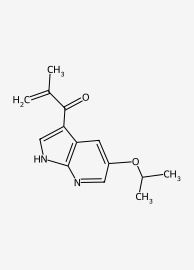 C=C(C)C(=O)c1c[nH]c2ncc(OC(C)C)cc12